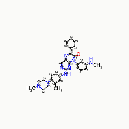 CNc1cccc(-n2c(=O)c(-c3ccccc3)nc3cnc(Nc4ccc(N5CCN(C)CC5)c(C)c4)nc32)c1